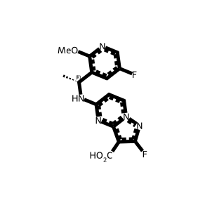 COc1ncc(F)cc1[C@@H](C)Nc1ccn2nc(F)c(C(=O)O)c2n1